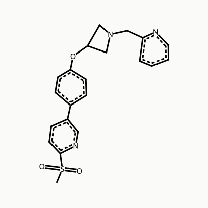 CS(=O)(=O)c1ccc(-c2ccc(OC3CN(Cc4ccccn4)C3)cc2)cn1